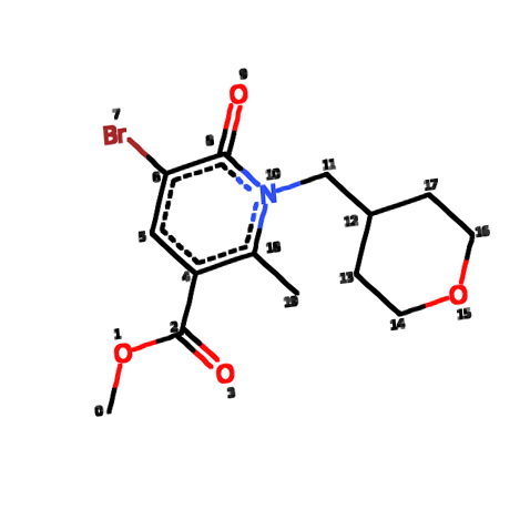 COC(=O)c1cc(Br)c(=O)n(CC2CCOCC2)c1C